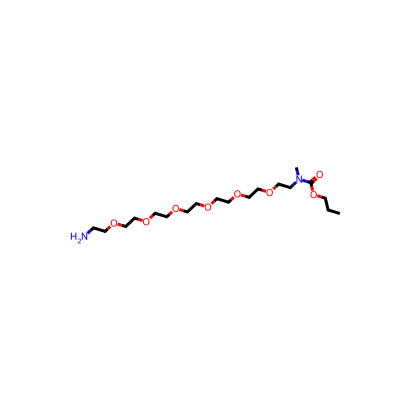 CCCOC(=O)N(C)CCOCCOCCOCCOCCOCCOCCN